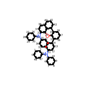 c1ccc(N(c2ccccc2)c2ccc(-c3cccc4c3Oc3c(N(c5ccccc5)c5ccccc5)ccc5cccc-4c35)cc2)cc1